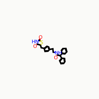 O=C1NC(=O)C(Cc2ccc(CCNC(=O)C(c3ccccc3)c3ccccc3)cc2)S1